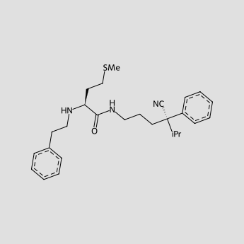 CSCC[C@H](NCCc1ccccc1)C(=O)NCCC[C@@](C#N)(c1ccccc1)C(C)C